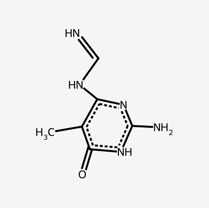 Cc1c(NC=N)nc(N)[nH]c1=O